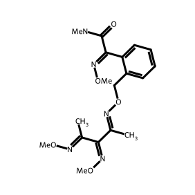 CNC(=O)/C(=N/OC)c1ccccc1CO/N=C(C)/C(=N/OC)C(/C)=N/OC